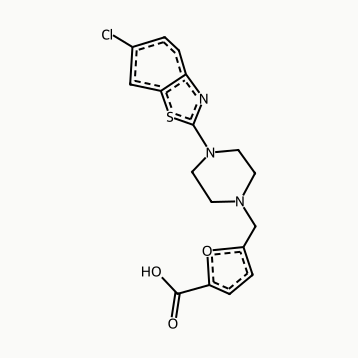 O=C(O)c1ccc(CN2CCN(c3nc4ccc(Cl)cc4s3)CC2)o1